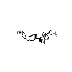 C=Cc1ccc2ncc(-c3cccc(CC4CCNCC4)c3)n2n1